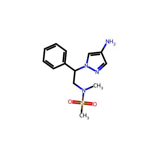 CN(CC(c1ccccc1)n1cc(N)cn1)S(C)(=O)=O